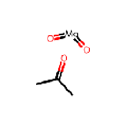 CC(C)=O.[O]=[Mo]=[O]